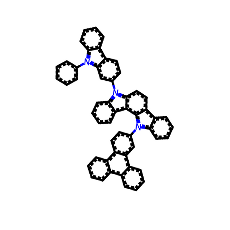 c1ccc(-n2c3ccccc3c3ccc(-n4c5ccccc5c5c4ccc4c6ccccc6n(-c6ccc7c8ccccc8c8ccccc8c7c6)c45)cc32)cc1